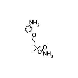 CC(C)(CCCOc1cccc(N)c1)OC(N)=O